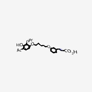 CCCc1c(OCCCCCOc2cccc(/C=C/C(=O)O)c2)ccc(C(C)=O)c1O